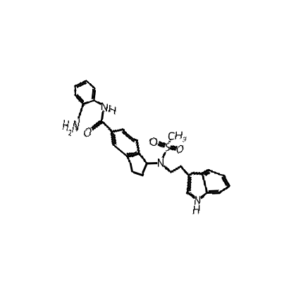 CS(=O)(=O)N(CCc1c[nH]c2ccccc12)C1CCc2cc(C(=O)Nc3ccccc3N)ccc21